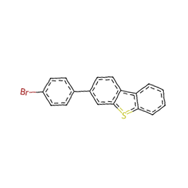 Brc1ccc(-c2ccc3c(c2)sc2ccccc23)cc1